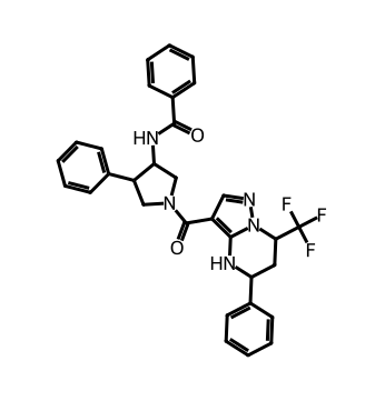 O=C(NC1CN(C(=O)c2cnn3c2NC(c2ccccc2)CC3C(F)(F)F)CC1c1ccccc1)c1ccccc1